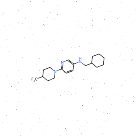 FC(F)(F)C1CCN(c2ccc(NCC3CCCCC3)cn2)CC1